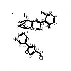 CC1(C)[C@H]2CC[C@]1(c1cncc(-c3nc(CCl)co3)n1)c1nnc(-c3c(F)cccc3F)cc12